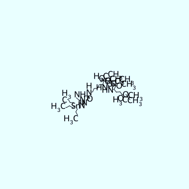 CCC[CH2][Sn]([CH2]CCC)([CH2]CCC)[c]1nnn(CC(=O)NCCCCC(NC(=O)NC(CCC(=O)OC(C)(C)C)C(=O)OC(C)(C)C)C(=O)OC(C)(C)C)c1CN